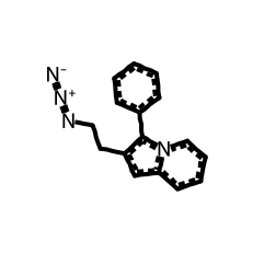 [N-]=[N+]=NCCc1cc2ccccn2c1-c1ccccc1